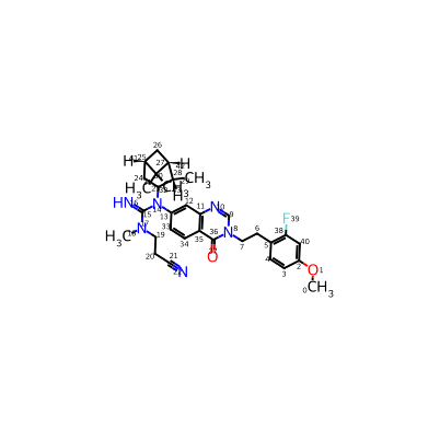 COc1ccc(CCn2cnc3cc(N(C(=N)N(C)CCC#N)C4C[C@@H]5C[C@H]([C@@H]4C)C5(C)C)ccc3c2=O)c(F)c1